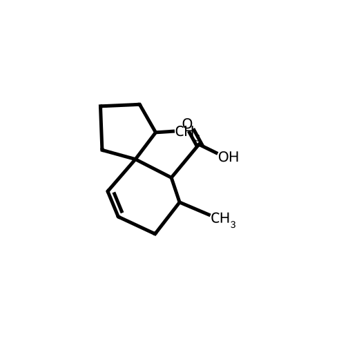 CC1CC=CC2(CCCC2C)C1C(=O)O